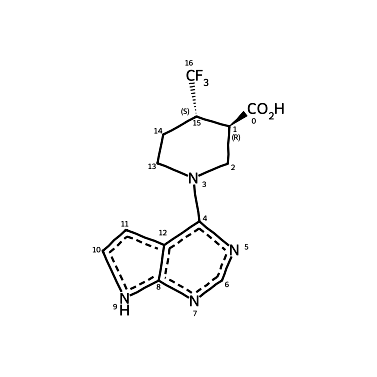 O=C(O)[C@H]1CN(c2ncnc3[nH]ccc23)CC[C@@H]1C(F)(F)F